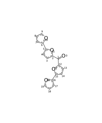 O=C(c1ccc(-c2ccco2)o1)c1ccc(-c2ccco2)o1